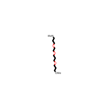 CNCCCOCCOCCCOCCCOC